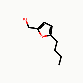 CCCCc1ccc(CO)o1